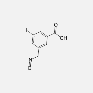 O=NCc1cc(I)cc(C(=O)O)c1